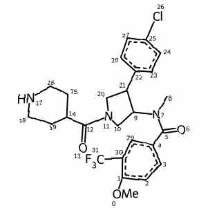 COc1ccc(C(=O)N(C)C2CN(C(=O)C3CCNCC3)CC2c2ccc(Cl)cc2)cc1C(F)(F)F